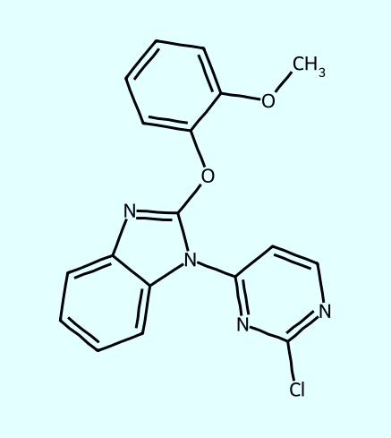 COc1ccccc1Oc1nc2ccccc2n1-c1ccnc(Cl)n1